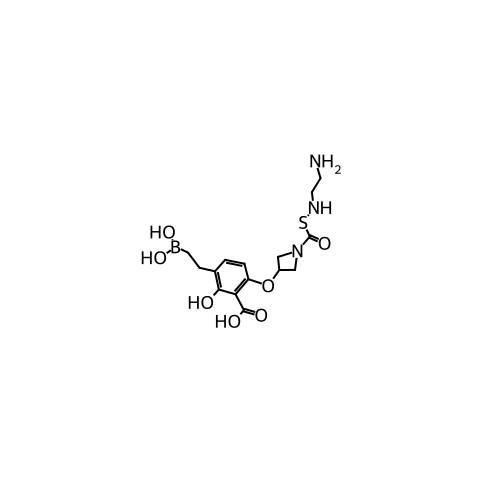 NCCNSC(=O)N1CC(Oc2ccc(CCB(O)O)c(O)c2C(=O)O)C1